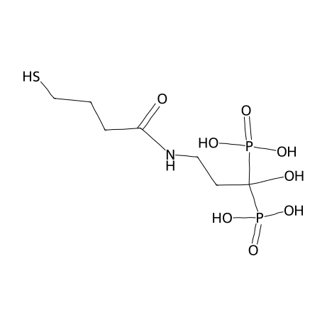 O=C(CCCS)NCCC(O)(P(=O)(O)O)P(=O)(O)O